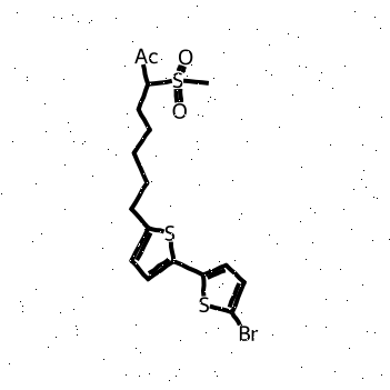 CC(=O)C(CCCCCc1ccc(-c2ccc(Br)s2)s1)S(C)(=O)=O